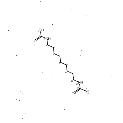 S=C(S)NCCCCCCCCCNC(=S)S